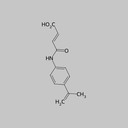 C=C(C)c1ccc(NC(=O)C=CC(=O)O)cc1